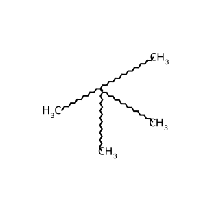 CCCCCCCCCCCCCCCCCC(CCCCCCCCCCCCC)[C](CCCCCCCCCCCCCCCC)CCCCCCCCCCCCCCCC